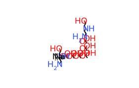 CC(=O)O.CC(=O)O.CC(=O)O.CC(=O)O.CC(=O)O.CC(=O)O.NCCNCCO.NCCNCCO.[Na].[Na]